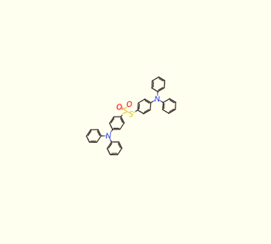 O=S(=O)(Sc1ccc(N(c2ccccc2)c2ccccc2)cc1)c1ccc(N(c2ccccc2)c2ccccc2)cc1